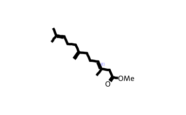 C=C(CCC=C(C)C)CC/C=C(\C)CC(=O)OC